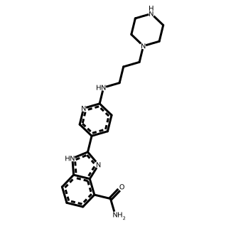 NC(=O)c1cccc2[nH]c(-c3ccc(NCCCN4CCNCC4)nc3)nc12